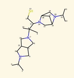 CC(C)N1CC2CN(C(C)(C)C(CS)N3CC4CC3CN4C(C)C)CC2C1